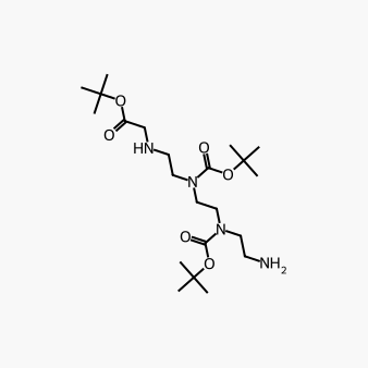 CC(C)(C)OC(=O)CNCCN(CCN(CCN)C(=O)OC(C)(C)C)C(=O)OC(C)(C)C